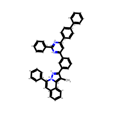 Cc1c(-c2cccc(-c3cc(-c4ccc(-c5ccccc5)cc4)nc(-c4ccccc4)n3)c2)nn2c(-c3ccccc3)cc3ccccc3c12